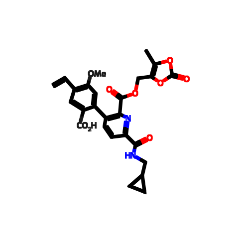 C=Cc1cc(C(=O)O)c(-c2ccc(C(=O)NCC3CC3)nc2C(=O)OCc2oc(=O)oc2C)cc1OC